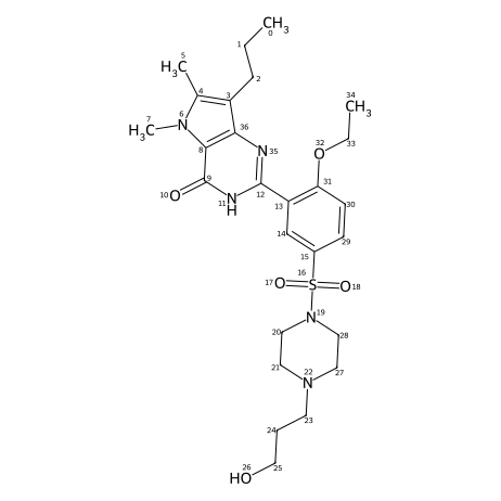 CCCc1c(C)n(C)c2c(=O)[nH]c(-c3cc(S(=O)(=O)N4CCN(CCCO)CC4)ccc3OCC)nc12